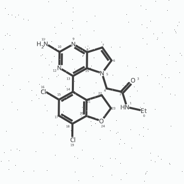 CCNC(=O)Cn1ccc2nc(N)nc(-c3c(Cl)cc(Cl)c4c3CCO4)c21